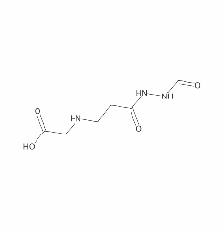 O=CNNC(=O)CCNCC(=O)O